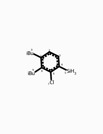 CCC(C)c1ccc([SiH3])c(Cl)c1C(C)CC